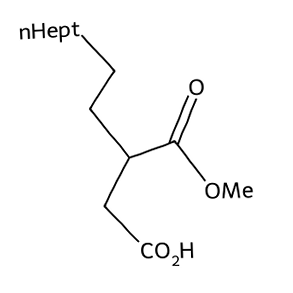 CCCCCCCCCC(CC(=O)O)C(=O)OC